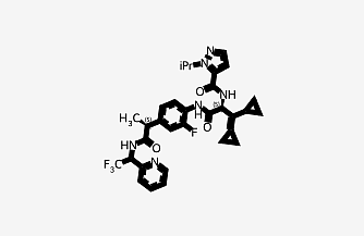 CC(C)n1nccc1C(=O)N[C@H](C(=O)Nc1ccc([C@H](C)C(=O)NC(c2ccccn2)C(F)(F)F)cc1F)C(=C1CC1)C1CC1